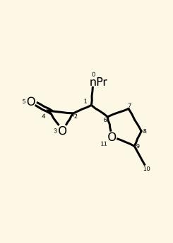 CCCC([C]1OC1=O)C1CCC(C)O1